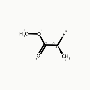 COC(=O)[C@H](C)F